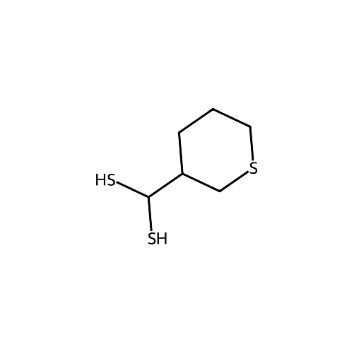 SC(S)C1CCCSC1